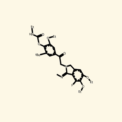 CCNC(=O)Oc1c(OCC)cc(C(=O)CN2Cc3cc(OCC)c(OCC)c(F)c3/C2=N/C)cc1C(C)(C)C